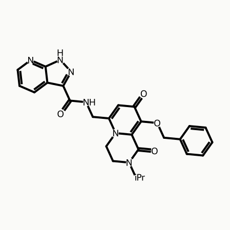 CC(C)N1CCn2c(CNC(=O)c3n[nH]c4ncccc34)cc(=O)c(OCc3ccccc3)c2C1=O